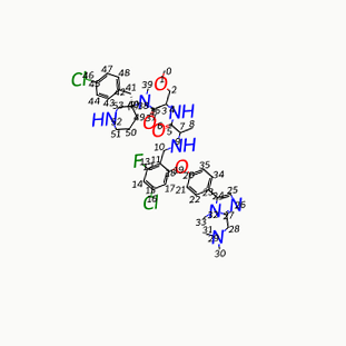 COCC(NC(=O)C(C)NCc1c(F)cc(Cl)cc1Oc1ccc(-c2cnc(CN(C)C)n2C)cc1)C(=O)N(C)[C@@]1(Cc2ccc(Cl)cc2)CCCNC1